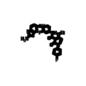 CCOc1ccn(-c2ccc(F)cc2)c(=O)c1C(=O)Nc1ccc(Nc2ccc3nc(N)sc3n2)c(F)c1